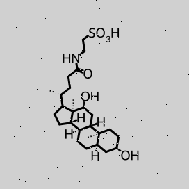 C[C@H](CCC(=O)NCCS(=O)(=O)O)C1CC[C@H]2[C@@H]3CC[C@@H]4C[C@H](O)CC[C@]4(C)[C@H]3C[C@H](O)[C@]12C